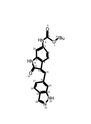 CC(C)(C)OC(=O)Nc1ccc2c(c1)NC(=O)C2=Cc1ccc2cn[nH]c2c1